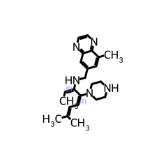 C/C=C(NCc1cc(C)c2nccnc2c1)\C(=C/C=C(C)C)N1CCNCC1